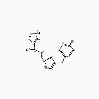 CC(=O)c1ccc(Cc2c[nH]c(C=CC(O)c3nn[nH]n3)c2)cc1